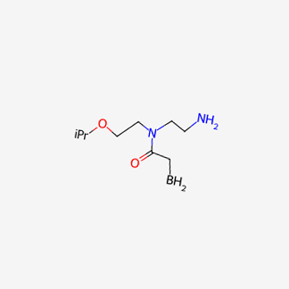 BCC(=O)N(CCN)CCOC(C)C